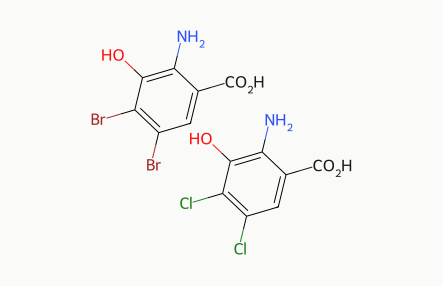 Nc1c(C(=O)O)cc(Br)c(Br)c1O.Nc1c(C(=O)O)cc(Cl)c(Cl)c1O